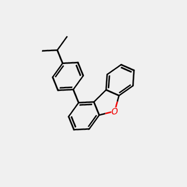 CC(C)c1ccc(-c2cccc3oc4ccccc4c23)cc1